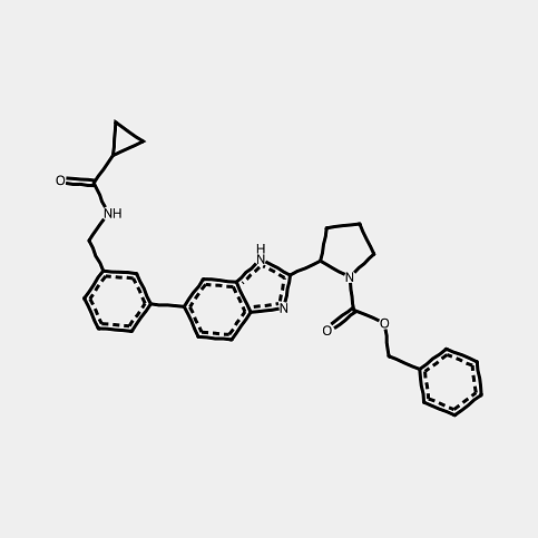 O=C(NCc1cccc(-c2ccc3nc(C4CCCN4C(=O)OCc4ccccc4)[nH]c3c2)c1)C1CC1